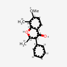 COc1ccc2c(=O)c(-c3ccccc3)c(C)oc2c1C